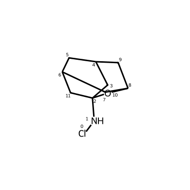 ClNC12CC3CC(CC(C3)O1)C2